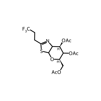 CC(=O)OC[C@H]1OC2SC(CCC(F)(F)F)=NC2[C@@H](OC(C)=O)C1OC(C)=O